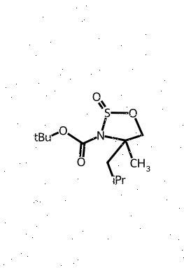 CC(C)CC1(C)COS(=O)N1C(=O)OC(C)(C)C